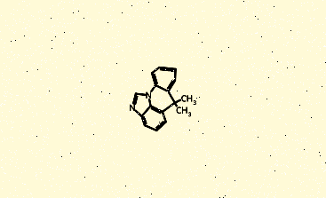 CC1(C)c2ccccc2-n2cnc3cccc1c32